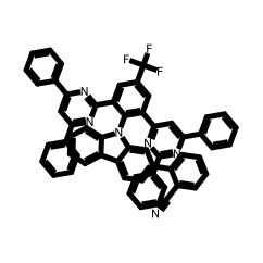 N#Cc1ccccc1-c1ccc2c3ccccc3n(-c3c(-c4cc(-c5ccccc5)nc(-c5ccccc5)n4)cc(C(F)(F)F)cc3-c3nc(-c4ccccc4)cc(-c4ccccc4)n3)c2c1